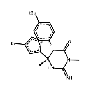 CN1C(=N)N[C@](C)(c2cc(Br)cs2)[C@H](c2ccc(C(C)(C)C)cc2)C1=O